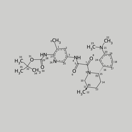 Cc1cc(NC(=O)C(=O)N2C[C@H](C)CC[C@H]2c2cccc(N(C)C)c2)cnc1NC(=O)OC(C)(C)C